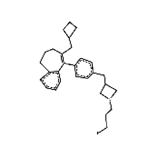 FCCCN1CC(Cc2ccc(C3=C(CC4CCC4)CCCc4ccccc43)cc2)C1